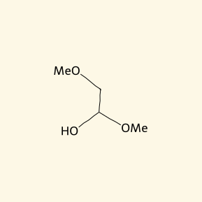 COCC(O)OC